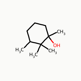 CC1CCCC(C)(O)C1(C)C